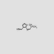 CC(C)/C=N\c1occc1C=N